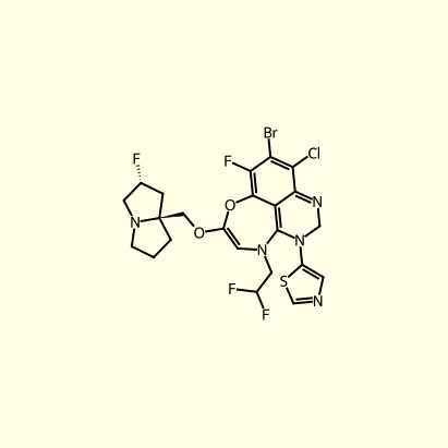 Fc1c(Br)c(Cl)c2c3c1OC(OC[C@@]14CCCN1C[C@H](F)C4)=CN(CC(F)F)C=3N(c1cncs1)CN=2